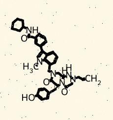 C=CCN1CC(=O)N2[C@H](CN(Cc3cccc4c(-c5cccc(C(=O)NC6CCCCC6)c5)cn(C)c34)C(=O)[C@@H]2Cc2ccc(O)cc2)N1